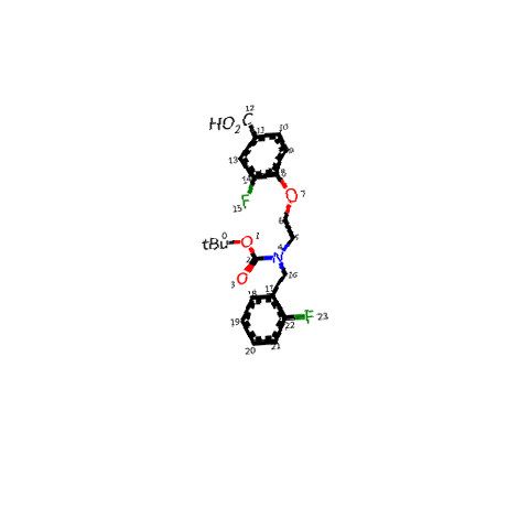 CC(C)(C)OC(=O)N(CCOc1ccc(C(=O)O)cc1F)Cc1ccccc1F